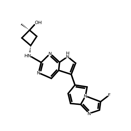 C[C@]1(O)C[C@H](Nc2ncc3c(-c4ccc5ncc(F)n5c4)c[nH]c3n2)C1